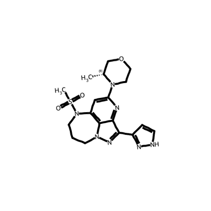 C[C@@H]1COCCN1c1cc2c3c(n1)c(-c1cc[nH]n1)nn3CCCN2S(C)(=O)=O